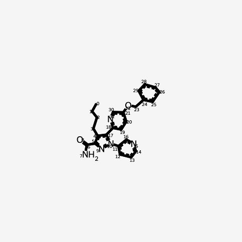 CCCCc1c(C(N)=O)nn(-c2cccnc2)c1-c1ccc(OCc2ccccc2)cn1